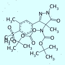 Cc1cc(C2=NN(C)C(=O)C2(C)N(OC(=O)OC(C)(C)C)C(=O)OC(C)(C)C)ccc1S(C)(=O)=O